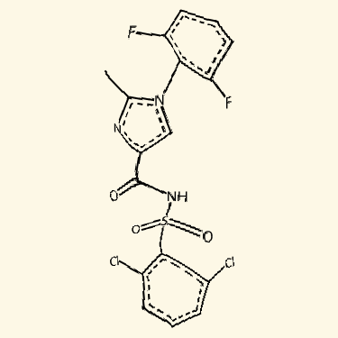 Cc1nc(C(=O)NS(=O)(=O)c2c(Cl)cccc2Cl)cn1-c1c(F)cccc1F